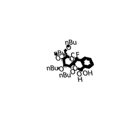 CCCCOC[C@H]1O[C@]2(OC(O)(O)c3ccccc3C2(C)F)[C@H](OCCCC)[C@@H](OCCCC)[C@@H]1OCCCC